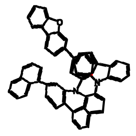 c1ccc(-c2ccc(-c3cccc4ccccc34)cc2N(c2cccc(-c3ccc4c(c3)oc3ccccc34)c2)c2ccccc2-n2c3ccccc3c3ccccc32)cc1